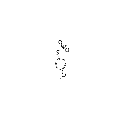 CCOc1ccc(S[N+](=O)[O-])cc1